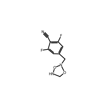 N#Cc1c(F)cc(CN2OCNO2)cc1F